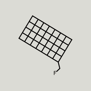 FCC1C2C3C4CC5C6C7C8C9C%10CC%11C%12C%13CC%14C%15C%16C%17C%18C1C21C32C45C63C74C85C96C%11%10C%127C%13%14C%158C%169C%17%10C%181C23C4%10C59C768